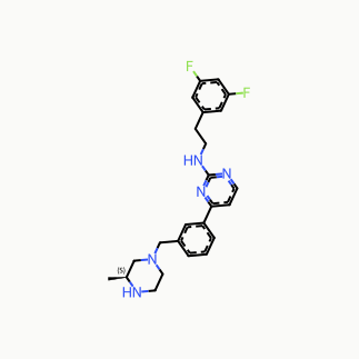 C[C@H]1CN(Cc2cccc(-c3ccnc(NCCc4cc(F)cc(F)c4)n3)c2)CCN1